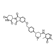 Cc1c(N[C@@H]2C[C@H](c3ccc(COc4ccc5c(c4)C(=O)N(C4CCC(=O)NC4=O)C5=O)cc3)CN(C)C2)cnn(C)c1=O